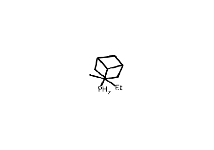 CCC(C)(P)C1C2CCCC1C2